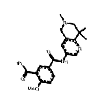 CCCC(=O)c1cc(C(=O)Nc2cnc3c(c2)CN(C)CC3(C)C)ccc1OC